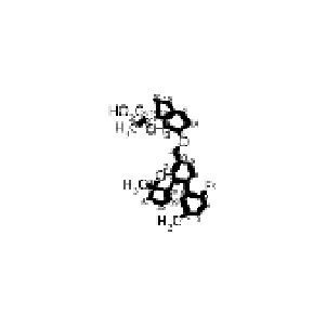 Cc1ccc(F)c(-c2ccc(COc3ccc4c(c3)[C@H](C(C)(C)C(=O)O)CC4)cc2C2=CCCC2(C)C)c1